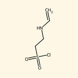 C=CNCCS(=O)(=O)Cl